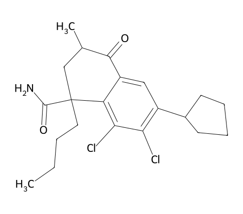 CCCCC1(C(N)=O)CC(C)C(=O)c2cc(C3CCCC3)c(Cl)c(Cl)c21